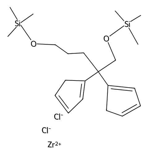 C[Si](C)(C)OCCCC(CO[Si](C)(C)C)(C1=CC=CC1)C1=CC=CC1.[Cl-].[Cl-].[Zr+2]